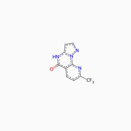 O=c1[nH]c2ccnn2c2nc(C(F)(F)F)ccc12